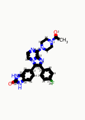 CC(=O)N1CCN(c2nccn3c(-c4ccc5[nH]c(=O)[nH]c5c4)c(-c4ccc(F)cc4)nc23)CC1